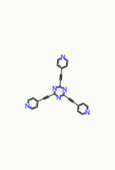 C(#Cc1nc(C#Cc2ccncc2)nc(C#Cc2ccncc2)n1)c1ccncc1